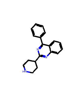 c1ccc(-c2nc(C3CCNCC3)nc3ccccc23)cc1